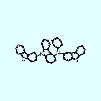 c1ccc(N(c2ccc3sc4ccccc4c3c2)c2cccc3c2c2ccccc2n3-c2ccc3oc4ccccc4c3c2)cc1